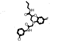 CCCNC(=O)C1CN(CC(=O)Nc2cccc(Cl)c2)c2ccc(F)cc2O1